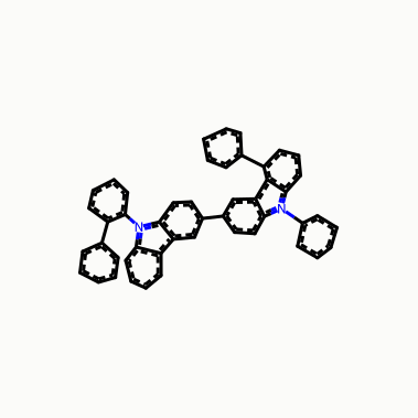 c1ccc(-c2ccccc2-n2c3ccccc3c3cc(-c4ccc5c(c4)c4c(-c6ccccc6)cccc4n5-c4ccccc4)ccc32)cc1